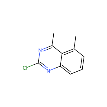 Cc1cccc2nc(Cl)nc(C)c12